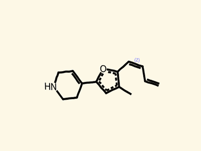 C=C/C=C\c1oc(C2=CCNCC2)cc1C